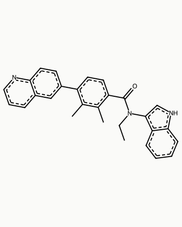 CCN(C(=O)c1ccc(-c2ccc3ncccc3c2)c(C)c1C)c1c[nH]c2ccccc12